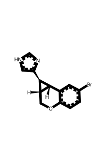 Brc1ccc2c(c1)[C@@H]1[C@H](CO2)[C@H]1c1c[nH]cn1